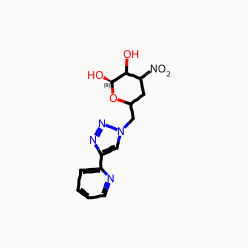 O=[N+]([O-])C1CC(Cn2cc(-c3ccccn3)nn2)O[C@@H](O)C1O